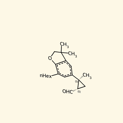 CCCCCCc1cc([C@@]2(C)C[C@@H]2C=O)cc2c1OCC2(C)C